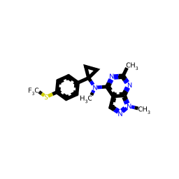 Cc1nc(N(C)C2(c3ccc(SC(F)(F)F)cc3)CC2)c2cnn(C)c2n1